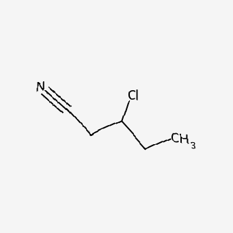 CCC(Cl)CC#N